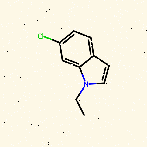 CCn1[c]cc2ccc(Cl)cc21